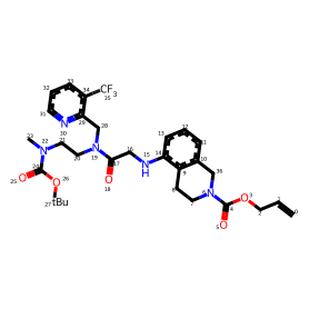 C=CCOC(=O)N1CCc2c(cccc2NCC(=O)N(CCN(C)C(=O)OC(C)(C)C)Cc2ncccc2C(F)(F)F)C1